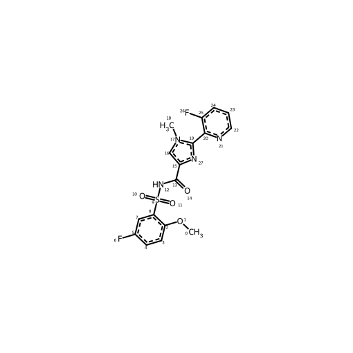 COc1ccc(F)cc1S(=O)(=O)NC(=O)c1cn(C)c(-c2ncccc2F)n1